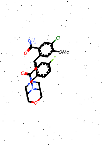 COc1cc(C=CC(=O)N2CC3COCC(C2)N3Cc2ccc(F)cc2)c(C(N)=O)cc1Cl